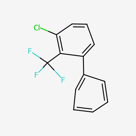 FC(F)(F)c1c(Cl)cccc1-c1ccccc1